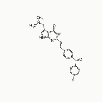 CN(C)Cc1c[nH]c2nc(SCc3ccc(C(=O)c4ccc(F)cc4)cc3)[nH]c(=O)c12